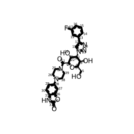 O=C([C@@H]1O[C@H](CO)[C@H](O)[C@H](n2cc(-c3cccc(F)c3)nn2)[C@H]1O)N1CCN(c2ccc3[nH]c(=O)oc3c2)CC1